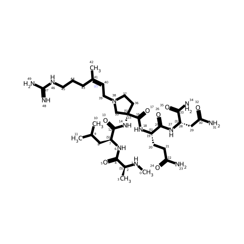 CN[C@@H](C)C(=O)N[C@@H](CC(C)C)C(=O)N[C@@]1(C(=O)N[C@@H](CCC(N)=O)C(=O)N[C@@H](CC(N)=O)C(N)=O)CCN(C/C=C(/C)CCCNC(=N)N)C1